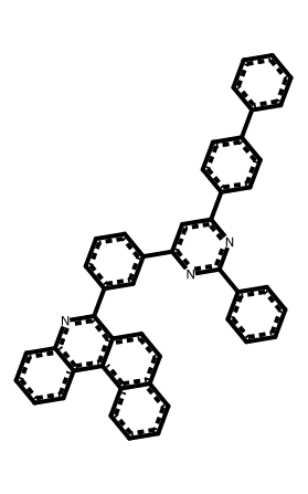 c1ccc(-c2ccc(-c3cc(-c4cccc(-c5nc6ccccc6c6c5ccc5ccccc56)c4)nc(-c4ccccc4)n3)cc2)cc1